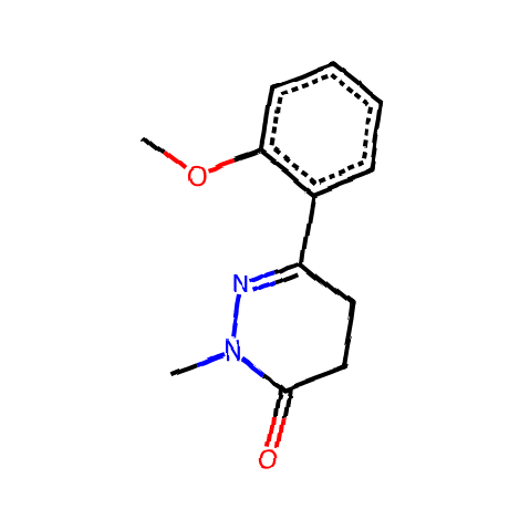 COc1ccccc1C1=NN(C)C(=O)CC1